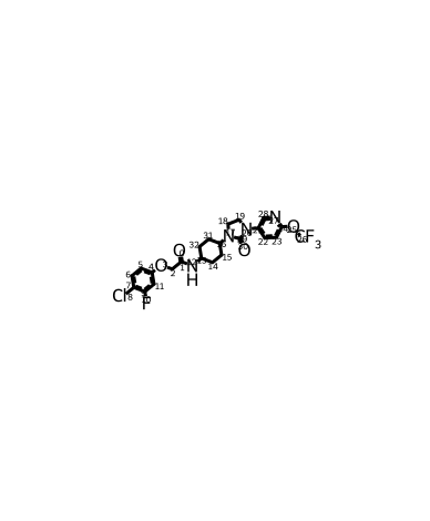 O=C(COc1ccc(Cl)c(F)c1)NC1CCC(N2CCN(c3ccc(OC(F)(F)F)nc3)C2=O)CC1